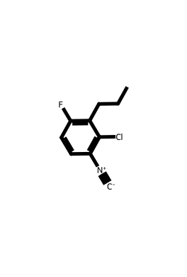 [C-]#[N+]c1ccc(F)c(CCC)c1Cl